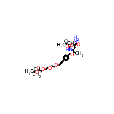 C[C@@H](OCc1ccc(C#CCOCCOCCOCC(=O)OC(C)(C)C)cc1)[C@H](CCC(N)=O)NC(=O)OC(C)(C)C